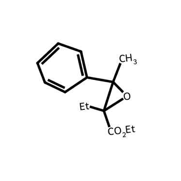 CCOC(=O)C1(CC)OC1(C)c1ccccc1